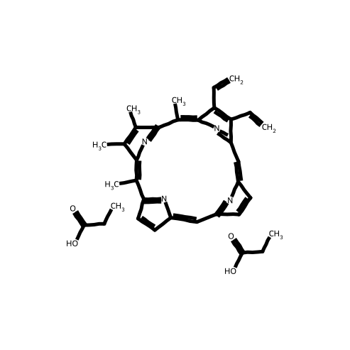 C=CC1=C(C=C)C2=C(C)C3=NC(=C(C)C4=NC(=CC5=NC(=CC1=N2)C=C5)C=C4)C(C)=C3C.CCC(=O)O.CCC(=O)O